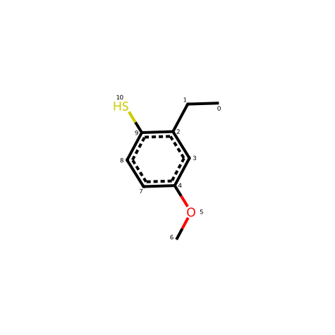 CCc1cc(OC)ccc1S